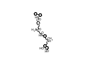 CC(Cc1cccc(NC(=O)CCCN(C)C(=O)CCN2CCC(OC(=O)Nc3ccccc3-c3ccccc3)CC2)c1)NCCc1ccc(O)c2[nH]c(=O)ccc12